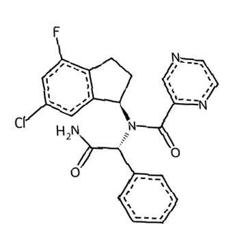 NC(=O)[C@@H](c1ccccc1)N(C(=O)c1cnccn1)[C@@H]1CCc2c(F)cc(Cl)cc21